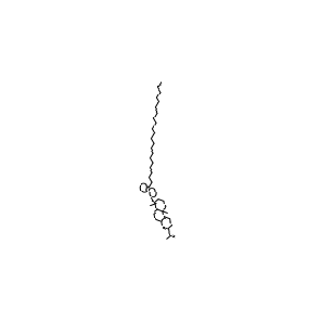 CCCCCCCCCCCCCCCCCCCCCC(=O)OCC1(C)CCCC2(C)C3CCC(C(C)C)CC3CCC12